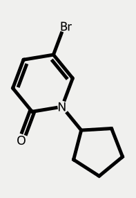 O=c1ccc(Br)cn1C1CCCC1